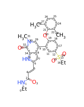 CCNC(=O)C=Cc1cc2c(-c3cc(S(=O)(=O)CC)ccc3Oc3c(C)cccc3C)cn(C)c(=O)c2[nH]1